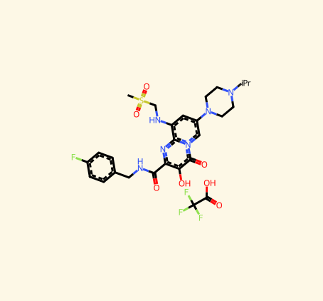 CC(C)N1CCN(c2cc(NCS(C)(=O)=O)c3nc(C(=O)NCc4ccc(F)cc4)c(O)c(=O)n3c2)CC1.O=C(O)C(F)(F)F